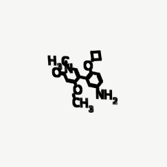 CCOc1cc(=O)n(C)cc1-c1cc(N)ccc1OC1CCC1